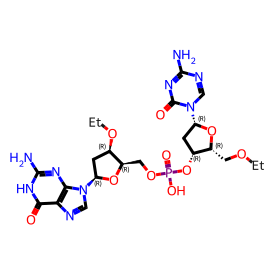 CCOC[C@H]1O[C@@H](n2cnc(N)nc2=O)C[C@H]1OP(=O)(O)OC[C@H]1O[C@@H](n2cnc3c(=O)[nH]c(N)nc32)C[C@H]1OCC